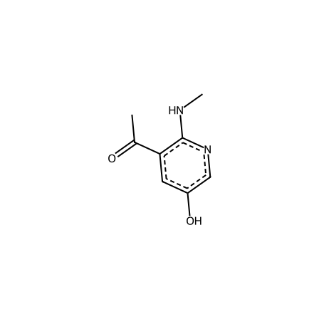 CNc1ncc(O)cc1C(C)=O